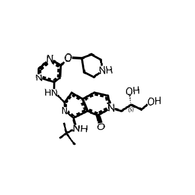 CC(C)(C)Nc1nc(Nc2cc(OC3CCNCC3)ncn2)cc2ccn(C[C@H](O)CO)c(=O)c12